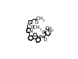 COc1nc(-c2cccc(-c3cccc(NC(=O)c4ccnn(C)c4=O)c3Cl)c2Cl)ccc1CN1CC(CC(C)=O)C1